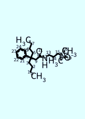 CCCCC(CCCC)(CC(=O)NCCC[N+](C)(C)[O-])c1ccccc1